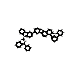 c1ccc(-c2nc(-n3c4ccccc4c4cc(-c5ccc6sc7c(ccc8c7ccc7c8c8cccc9c%10ccccc%10n7c98)c6c5)ccc43)nc3ccccc23)cc1